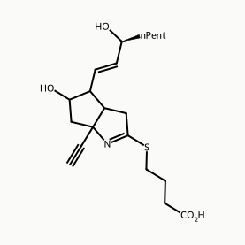 C#CC12CC(O)C(C=C[C@@H](O)CCCCC)C1CC(SCCCC(=O)O)=N2